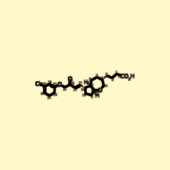 O=C(O)CCC[C@H]1CC[C@H]2[C@H](CC[C@@H]2/C=C/C(=O)COC2=CC(Cl)=CCC2)OC1